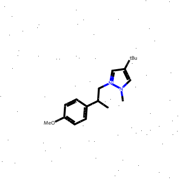 COc1ccc(C(C)C[n+]2cc(C(C)(C)C)cn2C)cc1